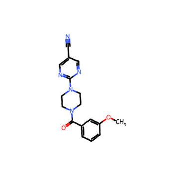 COc1cccc(C(=O)N2CCN(c3ncc(C#N)cn3)CC2)c1